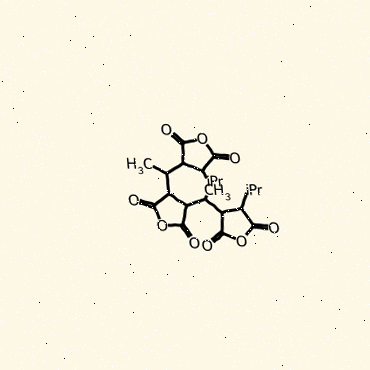 CC(C)C1C(=O)OC(=O)C1C(C)C1C(=O)OC(=O)C1C(C)C1C(=O)OC(=O)C1C(C)C